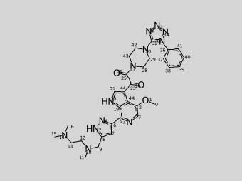 COc1cnc(-c2cc(CN(C)CCN(C)C)[nH]n2)c2[nH]cc(C(=O)C(=O)N3CCN(c4nnnn4-c4ccccc4)CC3)c12